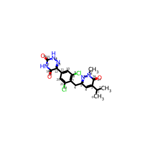 CC(C)c1cc(Cc2c(Cl)cc(-c3n[nH]c(=O)[nH]c3=O)cc2Cl)nn(C)c1=O